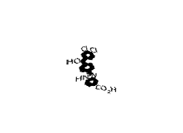 O=C(O)c1ccc2[nH]c(-c3ccc(C(O)c4ccc(Cl)c(Cl)c4)cc3)nc2c1